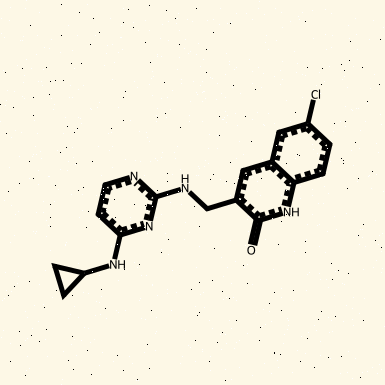 O=c1[nH]c2ccc(Cl)cc2cc1CNc1nccc(NC2CC2)n1